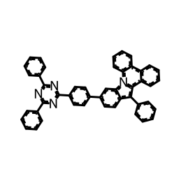 c1ccc(-c2nc(-c3ccccc3)nc(-c3ccc(-c4ccc5c(-c6ccccc6)c6c7ccccc7c7ccccc7n6c5c4)cc3)n2)cc1